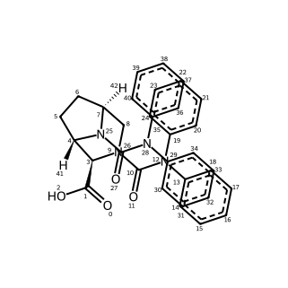 O=C(O)[C@H]1[C@@H]2CC[C@@H](CN1C(=O)N(c1ccccc1)c1ccccc1)N2C(=O)N(c1ccccc1)c1ccccc1